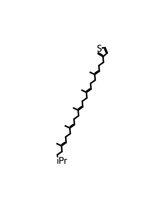 C/C(=C\CC/C(C)=C/CC/C(C)=C/CCc1ccsc1)CC/C=C(\C)CC/C=C(\C)CCC(C)C